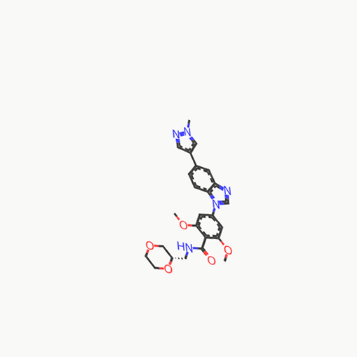 COc1cc(-n2cnc3cc(-c4cnn(C)c4)ccc32)cc(OC)c1C(=O)NC[C@H]1COCCO1